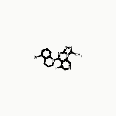 Cc1nnc2nc(N3CCCc4c(Br)cccc43)c3c(F)cncc3n12